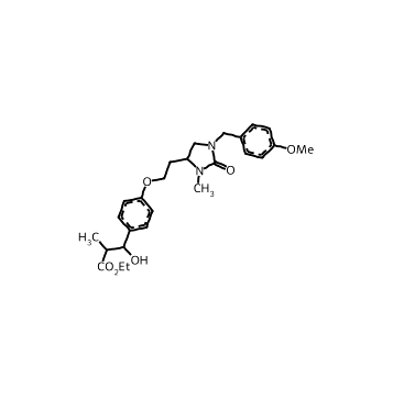 CCOC(=O)C(C)C(O)c1ccc(OCCC2CN(Cc3ccc(OC)cc3)C(=O)N2C)cc1